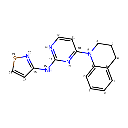 c1ccc2c(c1)CCCN2c1ccnc(Nc2ccsn2)n1